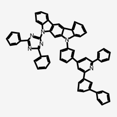 c1ccc(-c2cccc(-c3cc(-c4cccc(-n5c6ccccc6c6cc7c8ccccc8n(-c8nc(-c9ccccc9)nc(-c9ccccc9)n8)c7cc65)c4)cc(-c4ccccc4)n3)c2)cc1